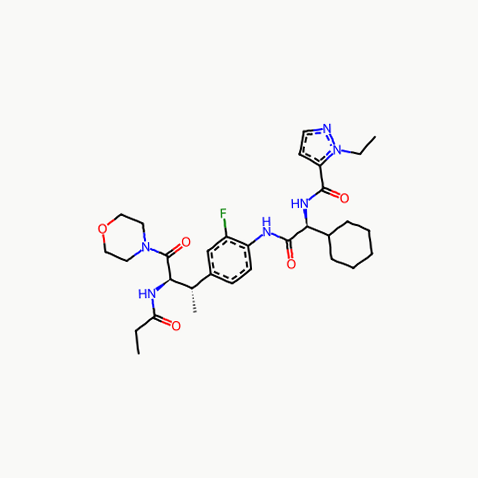 CCC(=O)N[C@@H](C(=O)N1CCOCC1)[C@@H](C)c1ccc(NC(=O)[C@@H](NC(=O)c2ccnn2CC)C2CCCCC2)c(F)c1